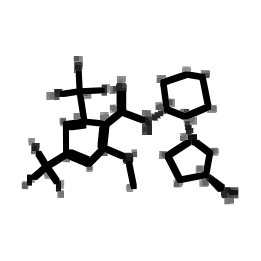 COc1cc(C(F)(F)F)cc(C(F)(F)F)c1C(=O)N[C@@H]1CCCC[C@@H]1N1CC[C@H](O)C1